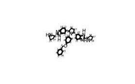 c1ccc(COc2ccc(N3[C@@H](c4ccc5nc([C@@H]6CCCN6)[nH]c5c4)CC[C@@H]3c3ccc4nc([C@@H]5CCCN5)[nH]c4c3)cc2)cc1